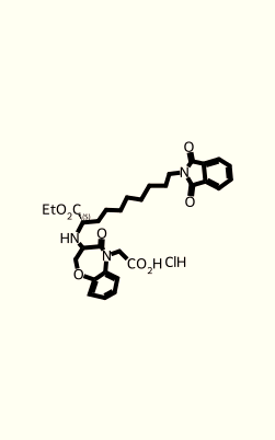 CCOC(=O)[C@H](CCCCCCCCN1C(=O)c2ccccc2C1=O)NC1COc2ccccc2N(CC(=O)O)C1=O.Cl